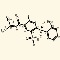 Cc1cc(S(=O)(=O)c2ccccc2Br)c(S(C)(=O)=O)cc1C(=O)N=C(N)N